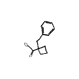 O=C(Cl)C1(Cc2ccccc2)CCC1